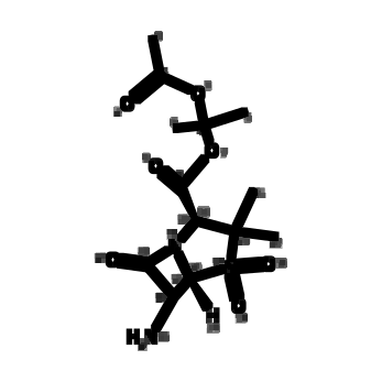 CC(=O)OC(C)(C)OC(=O)[C@@H]1N2C(=O)C(N)[C@H]2S(=O)(=O)C1(C)C